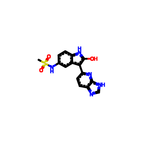 CS(=O)(=O)Nc1ccc2[nH]c(O)c(-c3ccc4nc[nH]c4n3)c2c1